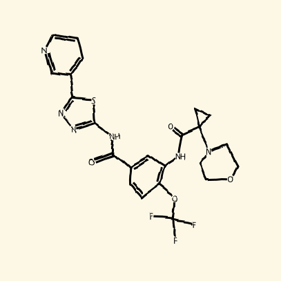 O=C(Nc1nnc(-c2cccnc2)s1)c1ccc(OC(F)(F)F)c(NC(=O)C2(N3CCOCC3)CC2)c1